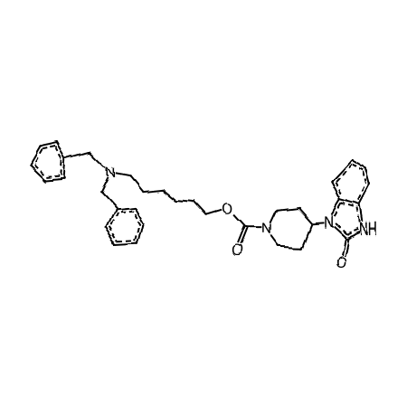 O=C(OCCCCCCN(Cc1ccccc1)Cc1ccccc1)N1CCC(n2c(=O)[nH]c3ccccc32)CC1